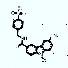 CCn1c2ccc(C#N)cc2c2cc(C(=O)NCc3ccc(S(=O)(=O)CC)cc3)ccc21